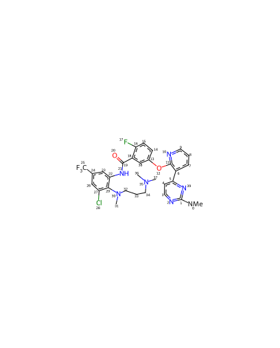 CNc1nccc(-c2cccnc2Oc2ccc(F)c(C(=O)Nc3cc(C(F)(F)F)cc(Cl)c3N(C)CCCN(C)C)c2)n1